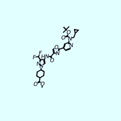 COC(=O)C1CCC(n2cc(NC(=O)c3coc(-c4ccnc(N(CC5CC5)C(=O)OC(C)(C)C)c4)n3)c(C(F)F)n2)CC1